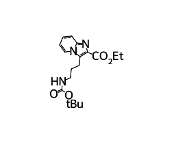 CCOC(=O)c1nc2ccccn2c1CCCNC(=O)OC(C)(C)C